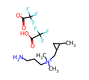 CC1CC1C[N+](C)(C)CCCN.O=C(O)C(F)(F)F.O=C([O-])C(F)(F)F